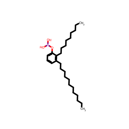 CCCCCCCCCCCCc1cccc(OP(O)O)c1CCCCCCCCC